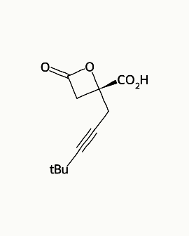 CC(C)(C)C#CC[C@]1(C(=O)O)CC(=O)O1